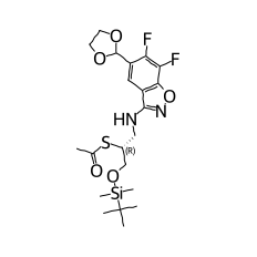 CC(=O)S[C@H](CNc1noc2c(F)c(F)c(C3OCCO3)cc12)CO[Si](C)(C)C(C)(C)C